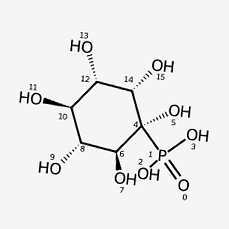 O=P(O)(O)[C@@]1(O)[C@@H](O)[C@H](O)[C@@H](O)[C@H](O)[C@@H]1O